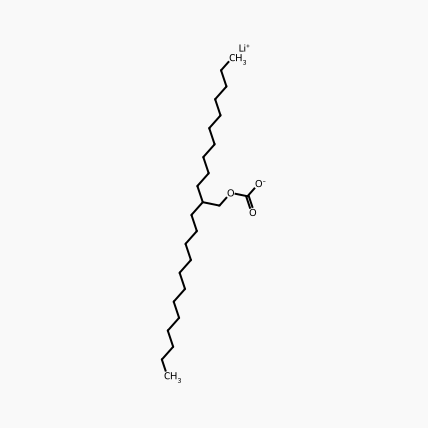 CCCCCCCCCCCCC(CCCCCCCCCC)COC(=O)[O-].[Li+]